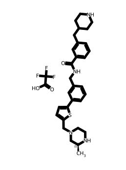 C[C@H]1CN(Cc2ccc(-c3cccc(CNC(=O)c4cccc(CC5CCNCC5)c4)c3)s2)CCN1.O=C(O)C(F)(F)F